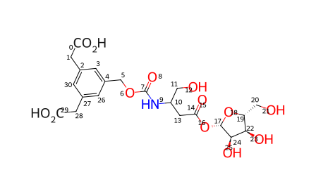 O=C(O)Cc1cc(COC(=O)NC(CO)CC(=O)O[C@@H]2O[C@H](CO)[C@@H](O)[C@H]2O)cc(CC(=O)O)c1